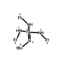 CC[NH][Ta](=[N]C(C)(C)C)([NH]CC)[NH]CC